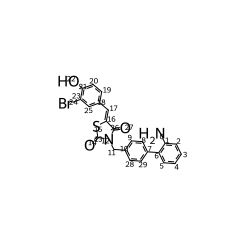 Nc1ccccc1-c1ccc(CN2C(=O)S/C(=C\c3ccc(O)c(Br)c3)C2=O)cc1